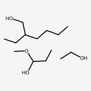 CCC(O)OC.CCCCC(CC)CO.CCO